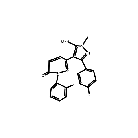 CNc1c(-c2ccc(=O)n(-c3ccccc3C)n2)c(-c2ccc(F)cc2)nn1C